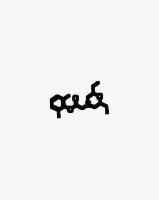 CCC1CN(CC(=O)Oc2c(C)cccc2C)CC(CC)O1